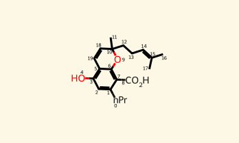 CCCc1cc(O)c2c(c1C(=O)O)OC(C)(CCC=C(C)C)C=C2